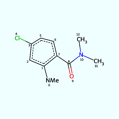 CNc1cc(Cl)ccc1C(=O)N(C)C